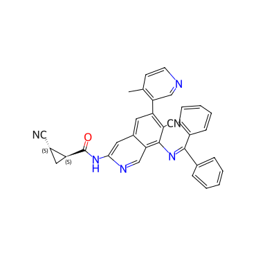 Cc1ccncc1-c1cc2cc(NC(=O)[C@H]3C[C@@H]3C#N)ncc2c(N=C(c2ccccc2)c2ccccc2)c1C#N